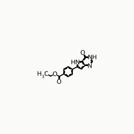 CCOC(=O)c1ccc(-c2cc3nc[nH]c(=O)c3[nH]2)cc1